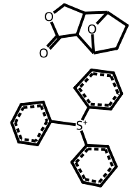 O=C1OCC2C3CCC(O3)C12.c1ccc([S+](c2ccccc2)c2ccccc2)cc1